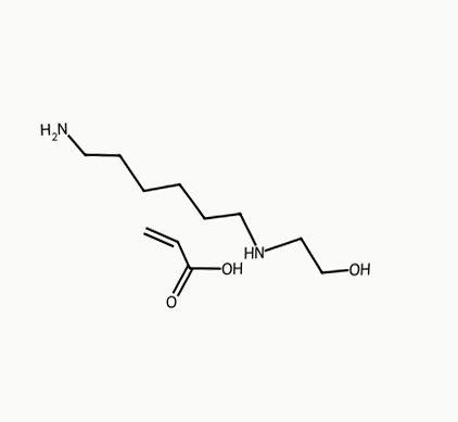 C=CC(=O)O.NCCCCCCNCCO